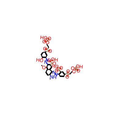 CNc1ccc2c(OC)c(/N=N/c3cc(S(=O)(=O)CCOS(=O)(=O)O)ccc3O)c(S(=O)(=O)O)cc2c1/N=N/c1ccc(S(=O)(=O)CCOS(=O)(=O)O)cc1S(=O)(=O)O